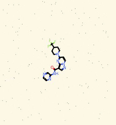 O=C(Nc1cnccn1)c1cnn2ccc(N3CCC(C(F)(F)F)CC3)nc12